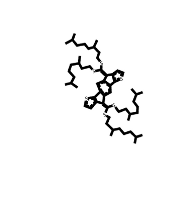 CC(C)CCCC(C)CCSC(SCCC(C)CCCC(C)C)=C1c2cc3c(cc2-c2sccc21)C(=C(SCCC(C)CCCC(C)C)SCCC(C)CCCC(C)C)c1ccsc1-3